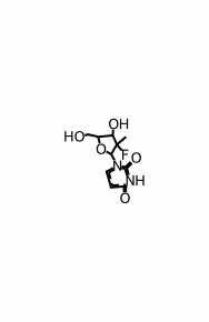 CC1(F)C(O)C(CO)OC1n1ccc(=O)[nH]c1=O